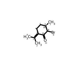 CC(C)=C1CC[C@@H](C)C(Br)C1=O